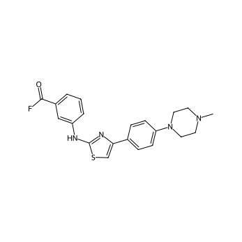 CN1CCN(c2ccc(-c3csc(Nc4cccc(C(=O)F)c4)n3)cc2)CC1